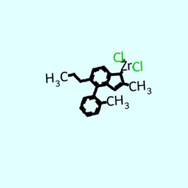 CCCc1ccc2c(c1-c1ccccc1C)C=C(C)[CH]2[Zr]([Cl])[Cl]